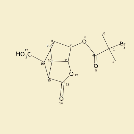 CC(C)(Br)C(=O)OC1C2CC3C1OC(=O)C3C2C(=O)O